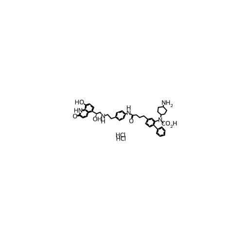 Cl.Cl.NC1CCC(N(C(=O)O)c2cc(CCCC(=O)Nc3ccc(CCNC[C@@H](O)c4ccc(O)c5[nH]c(=O)ccc45)cc3)ccc2-c2ccccc2)CC1